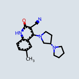 Cc1ccc2[nH]c(=O)c(C#N)c(N3CC[C@@H](N4CCCC4)C3)c2c1